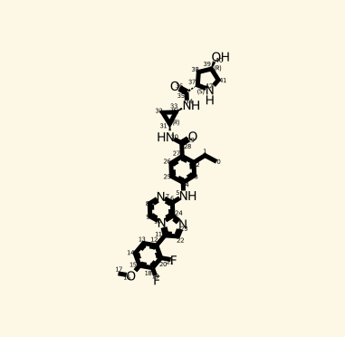 CCc1cc(Nc2nccn3c(-c4ccc(OC)c(F)c4F)cnc23)ccc1C(=O)N[C@@H]1C[C@@H]1NC(=O)[C@@H]1C[C@@H](O)CN1